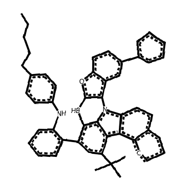 CCCCCc1ccc(Nc2ccccc2-c2cc(C(C)(C)C)c3c4c5ccccc5ccc4n4c3c2Bc2oc3ccc(-c5ccccc5)cc3c2-4)cc1